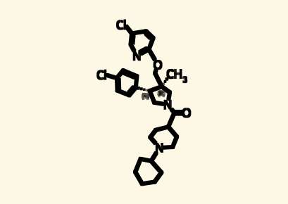 C[C@]1(COc2ccc(Cl)cn2)CN(C(=O)C2CCN(C3CCCCC3)CC2)C[C@@H]1c1ccc(Cl)cc1